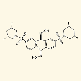 C[C@@H]1C[C@H](C)CN(S(=O)(=O)c2ccc3c(c2)C(=NO)c2cc(S(=O)(=O)N4C[C@H](C)C[C@H](C)C4)ccc2C3=NO)C1